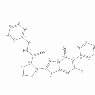 Cc1nc2sc(N3CCCC3C(=O)NCc3ccccc3)nn2c(=O)c1-c1ccccc1